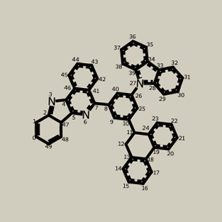 C1=CC2=Nc3c(nc(-c4cc(C5Cc6ccccc6-c6ccccc65)cc(-n5c6ccccc6c6ccccc65)c4)c4ccccc34)C2C=C1